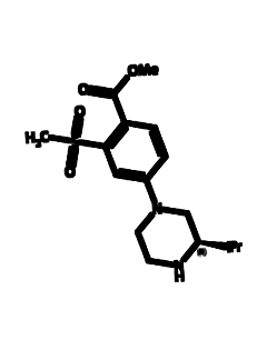 COC(=O)c1ccc(N2CCN[C@H](C(C)C)C2)cc1S(C)(=O)=O